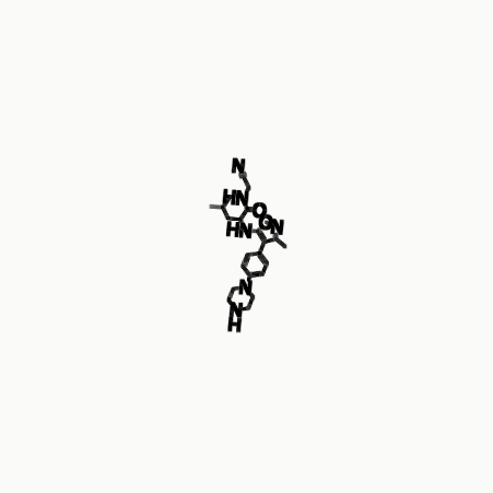 Cc1noc(NC(CC(C)C)C(=O)NCC#N)c1-c1ccc(N2CCNCC2)cc1